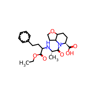 CCOC(=O)C(CCc1ccccc1)N[C@@H](C)C(=O)N1C2CCOC2CC[C@H]1C(=O)O